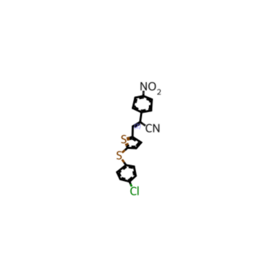 N#C/C(=C\c1ccc(Sc2ccc(Cl)cc2)s1)c1ccc([N+](=O)[O-])cc1